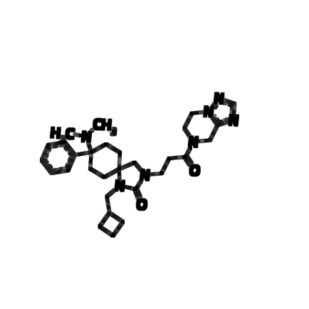 CN(C)C1(c2ccccc2)CCC2(CC1)CN(CCC(=O)N1CCn3ncnc3C1)C(=O)N2CC1CCC1